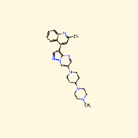 CN1CCN(C2CCN(c3cnc4c(-c5cc(C#N)nc6ccccc56)cnn4c3)CC2)CC1